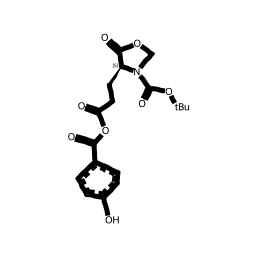 CC(C)(C)OC(=O)N1COC(=O)[C@@H]1CCC(=O)OC(=O)c1ccc(O)cc1